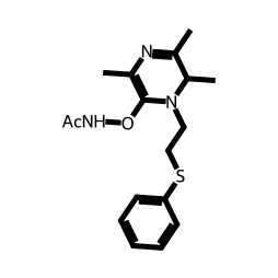 CC(=O)NOC1=C(C)N=C(C)C(C)N1CCSc1ccccc1